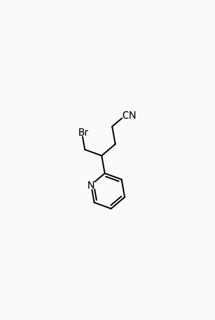 N#CCCC(CBr)c1ccccn1